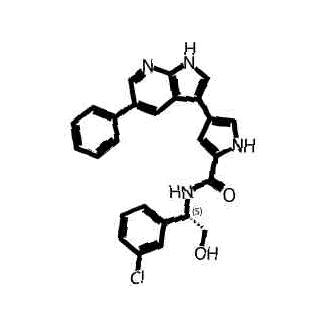 O=C(N[C@H](CO)c1cccc(Cl)c1)c1cc(-c2c[nH]c3ncc(-c4ccccc4)cc23)c[nH]1